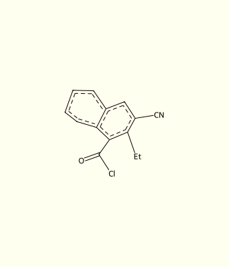 CCc1c(C#N)cc2ccccc2c1C(=O)Cl